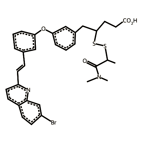 CC(SSC(CCC(=O)O)Cc1cccc(Oc2cccc(C=Cc3ccc4ccc(Br)cc4n3)c2)c1)C(=O)N(C)C